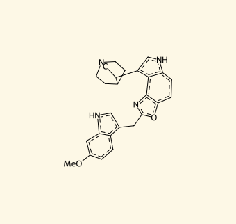 COc1ccc2c(Cc3nc4c(ccc5[nH]cc(C6CN7CCC6CC7)c54)o3)c[nH]c2c1